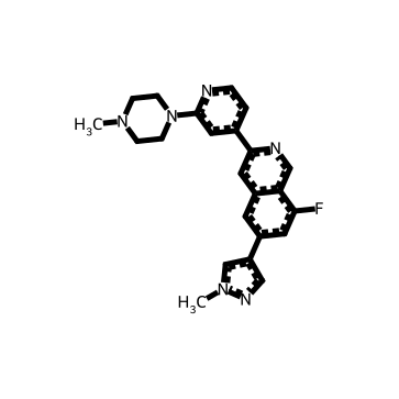 CN1CCN(c2cc(-c3cc4cc(-c5cnn(C)c5)cc(F)c4cn3)ccn2)CC1